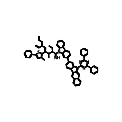 C=C/C=C(C=C)/C=C(\c1sc(-c2ccccc2)cc1C)C(C)C(CC)C(=N)n1c2ccccc2c2ccc(-c3ccc4c5cc6ccccc6cc5n(-c5nc(-c6ccccc6)nc(-c6ccccc6)n5)c4c3)cc21